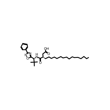 CCCCCCCCCCCCCCCC[C@H](CC(=O)O)C(=O)N[C@H](c1nc(-c2ccccc2)no1)C(C)(C)C